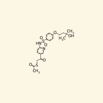 CC(=O)SCC(=O)c1ccc(NS(=O)(=O)c2ccc(OCCC(C)(C)O)cc2)nc1